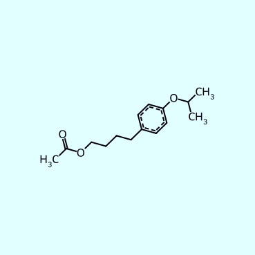 CC(=O)OCCCCc1ccc(OC(C)C)cc1